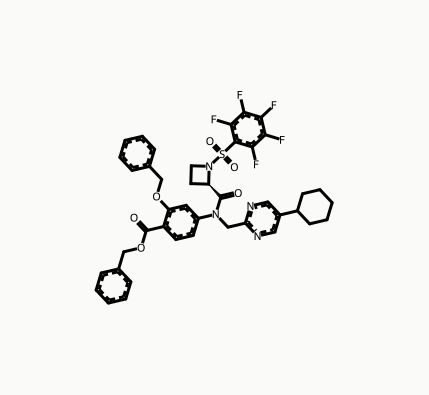 O=C(OCc1ccccc1)c1ccc(N(Cc2ncc(C3CCCCC3)cn2)C(=O)[C@H]2CCN2S(=O)(=O)c2c(F)c(F)c(F)c(F)c2F)cc1OCc1ccccc1